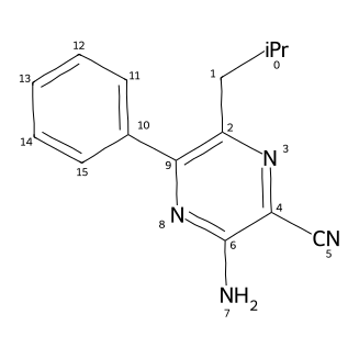 CC(C)Cc1nc(C#N)c(N)nc1-c1ccccc1